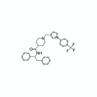 O=C(NC(Cc1ccccc1)c1ccccc1)C1CCN(Cc2ccn(-c3ccc(C(F)(F)F)cc3)c2)CC1